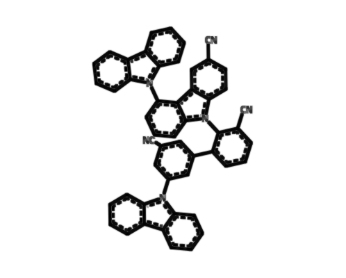 N#Cc1cc(-c2cccc(C#N)c2-n2c3ccc(C#N)cc3c3c(-n4c5ccccc5c5ccccc54)cccc32)cc(-n2c3ccccc3c3ccccc32)c1